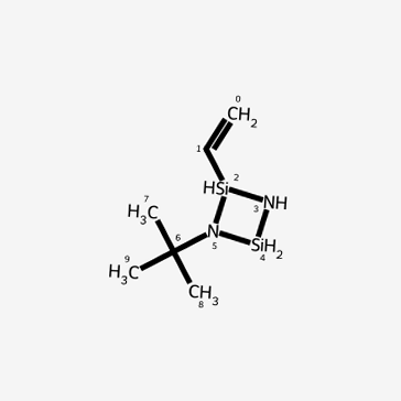 C=C[SiH]1N[SiH2]N1C(C)(C)C